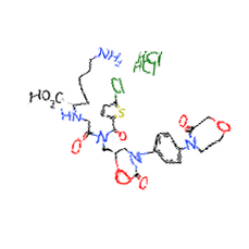 Cl.Cl.NCCCC[C@H](NCC(=O)N(C[C@H]1CN(c2ccc(N3CCOCC3=O)cc2)C(=O)O1)C(=O)c1ccc(Cl)s1)C(=O)O